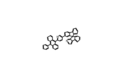 c1ccc(-c2c3ccccc3c(-c3ccc(-c4ccc5c(c4)C4(c6ccccc6-c6ccncc64)c4ccccc4-5)cn3)c3ccccc23)cc1